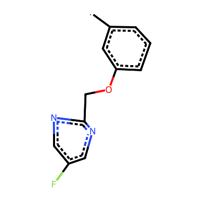 [CH2]c1cccc(OCc2ncc(F)cn2)c1